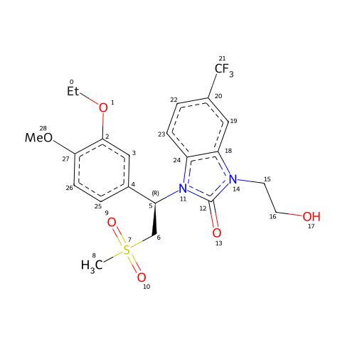 CCOc1cc([C@H](CS(C)(=O)=O)n2c(=O)n(CCO)c3cc(C(F)(F)F)ccc32)ccc1OC